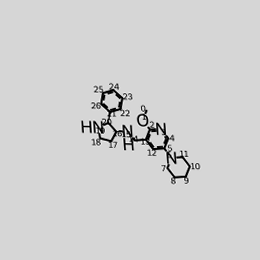 COc1ncc(N2CCCCC2)cc1CN[C@H]1CCN[C@H]1c1ccccc1